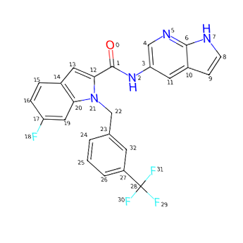 O=C(Nc1cnc2[nH]ccc2c1)c1cc2ccc(F)cc2n1Cc1cccc(C(F)(F)F)c1